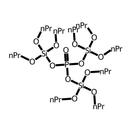 CCCO[Si](OCCC)(OCCC)OP(=O)(O[Si](OCCC)(OCCC)OCCC)O[Si](OCCC)(OCCC)OCCC